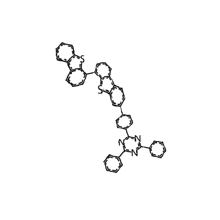 c1ccc(-c2nc(-c3ccccc3)nc(-c3ccc(-c4ccc5c(c4)sc4c(-c6cccc7c6sc6ccccc67)cccc45)cc3)n2)cc1